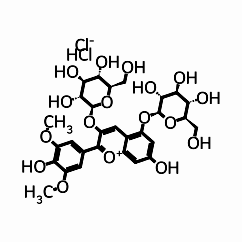 COc1cc(-c2[o+]c3cc(O)cc(O[C@@H]4O[C@H](CO)[C@@H](O)[C@H](O)[C@H]4O)c3cc2O[C@@H]2O[C@H](CO)[C@@H](O)[C@H](O)[C@H]2O)cc(OC)c1O.Cl.[Cl-]